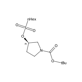 CCCCCCS(=O)(=O)O[C@@H]1CCN(C(=O)OC(C)(C)C)C1